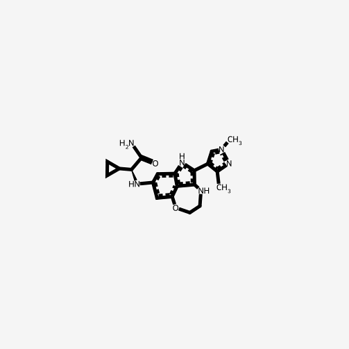 Cc1nn(C)cc1-c1[nH]c2cc(N[C@H](C(N)=O)C3CC3)cc3c2c1NCCO3